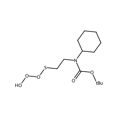 CC(C)(C)OC(=O)N(CCSOOO)C1CCCCC1